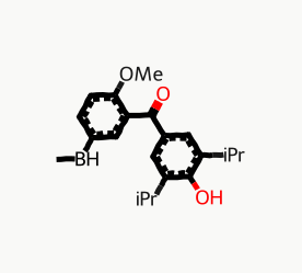 CBc1ccc(OC)c(C(=O)c2cc(C(C)C)c(O)c(C(C)C)c2)c1